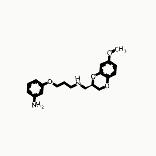 COc1ccc2c(c1)O[C@H](CNCCCOc1cccc(N)c1)CO2